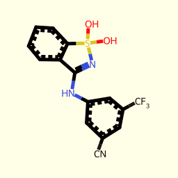 N#Cc1cc(NC2=NS(O)(O)c3ccccc32)cc(C(F)(F)F)c1